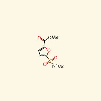 COC(=O)c1ccc(S(=O)(=O)NC(C)=O)o1